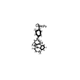 CCCC(=O)c1ccc(N2CC[C@H]3[C@@H](C2)c2cccc4c2N3CCN4C)cc1